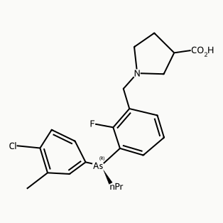 CCC[As@@](c1ccc(Cl)c(C)c1)c1cccc(CN2CCC(C(=O)O)C2)c1F